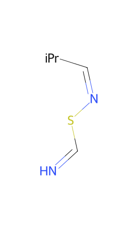 CC(C)/C=N\SC=N